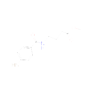 COC(=O)CCCNC(=O)c1ccc(S)cc1